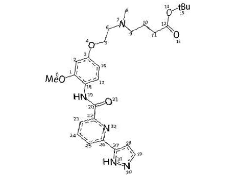 COc1cc(OCCN(C)CCCC(=O)OC(C)(C)C)ccc1NC(=O)c1cccc(-c2ccn[nH]2)n1